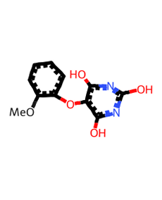 COc1ccccc1Oc1c(O)nc(O)nc1O